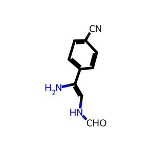 N#Cc1ccc(/C(N)=C/NC=O)cc1